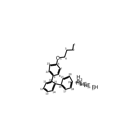 B.CCCCOc1ccc(-c2ccccc2-c2ccccc2)cc1.F.F.F.F